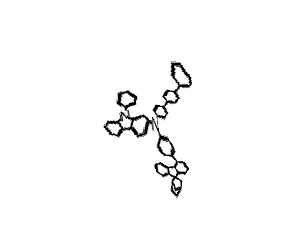 c1ccc(-c2ccc(-c3ccc(N(c4ccc(-c5cccc6c5-c5ccccc5C65CC6CCC5C6)cc4)c4ccc5c6ccccc6n(-c6ccccc6)c5c4)cc3)cc2)cc1